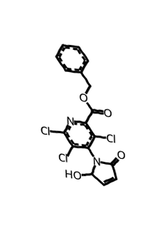 O=C(OCc1ccccc1)c1nc(Cl)c(Cl)c(N2C(=O)C=CC2O)c1Cl